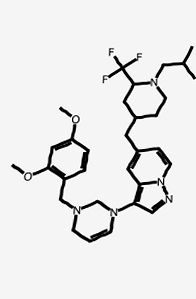 COc1ccc(CN2CC=CN(c3cnn4ccc(CC5CCN(CC(C)C)C(C(F)(F)F)C5)cc34)C2)c(OC)c1